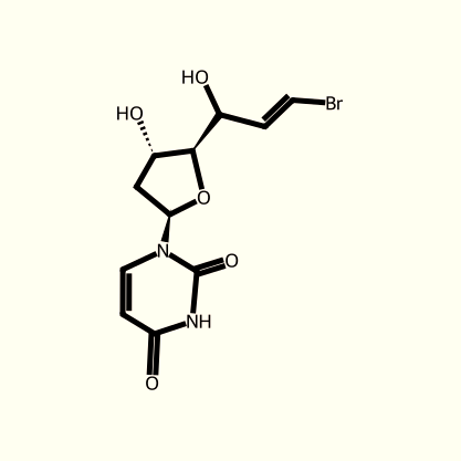 O=c1ccn([C@H]2C[C@H](O)[C@@H](C(O)/C=C/Br)O2)c(=O)[nH]1